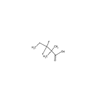 CCC(F)(F)C(C)(C)C(=O)O